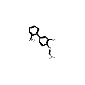 CC[C@H](C)COc1ccc(-c2ccccc2C(=O)O)cc1C#N